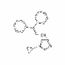 BC=C(c1ccccc1)c1ccccc1.c1cn(C2CC2)cn1